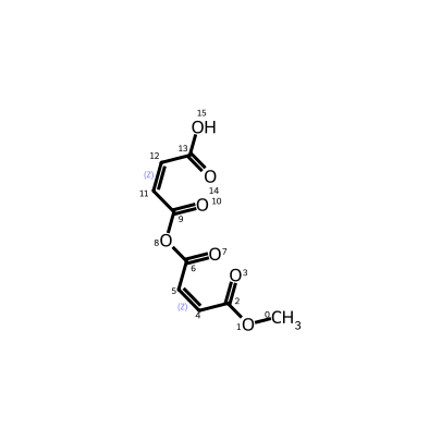 COC(=O)/C=C\C(=O)OC(=O)/C=C\C(=O)O